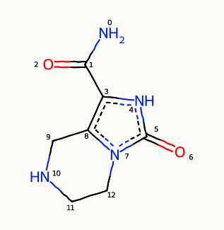 NC(=O)c1[nH]c(=O)n2c1CNCC2